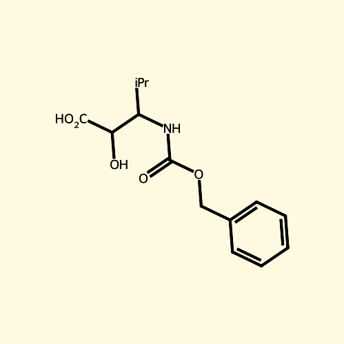 CC(C)C(NC(=O)OCc1ccccc1)C(O)C(=O)O